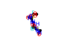 COc1cnc2c(-c3nc4cc(F)c(OC5CCCC5O)cc4s3)cc(CCc3ncc(NC(=O)O[C@H]4CCC(F)(F)C[C@H]4Oc4nc5sc(-c6cc(C)cc7nc(OC)cnc67)nc5cc4F)cn3)cc2n1